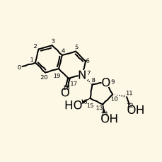 Cc1ccc2ccn([C@@H]3O[C@H](CO)[C@@H](O)[C@H]3O)c(=O)c2c1